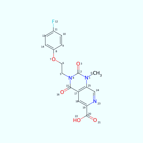 Cn1c(=O)n(CCOc2ccc(F)cc2)c(=O)c2cc(C(=O)O)ncc21